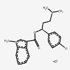 CN(C)CCC(OC(=O)c1cn(C)c2ccccc12)c1ccc(Cl)cc1.Cl